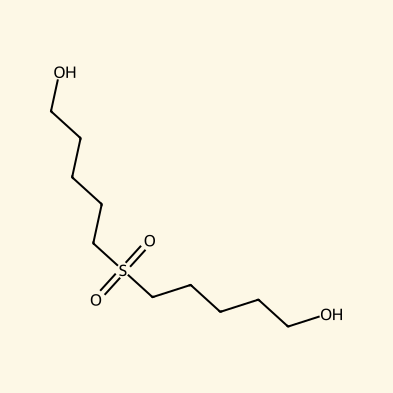 O=S(=O)(CCCCCO)CCCCCO